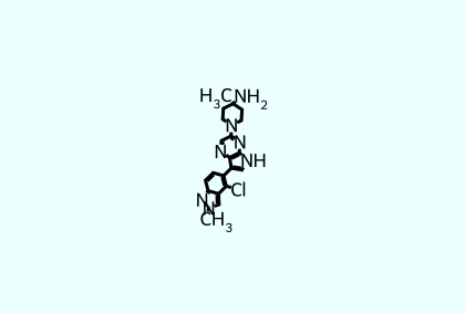 Cn1cc2c(Cl)c(-c3c[nH]c4nc(N5CCC(C)(N)CC5)cnc34)ccc2n1